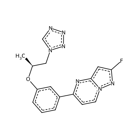 C[C@@H](Cn1cnnn1)Oc1cccc(-c2ccn3nc(F)cc3n2)c1